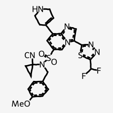 COc1ccc(CN(C2(C#N)CC2)S(=O)(=O)c2cc(C3=CCNCC3)c3ncc(-c4nnc(C(F)F)s4)n3c2)cc1